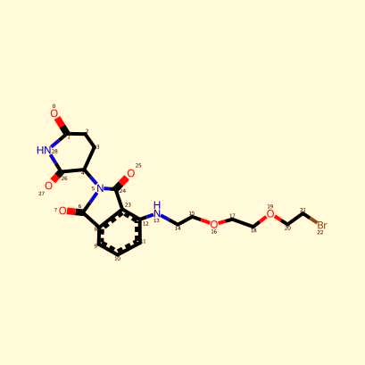 O=C1CCC(N2C(=O)c3cccc(NCCOCCOCCBr)c3C2=O)C(=O)N1